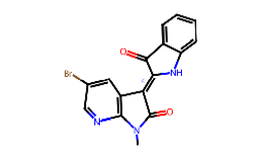 CN1C(=O)/C(=C2\Nc3ccccc3C2=O)c2cc(Br)cnc21